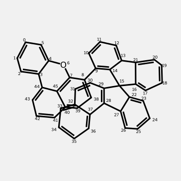 c1ccc2c(c1)Oc1c(-c3cccc4c3C3(c5ccccc5-4)c4ccccc4-c4c3ccc3ccccc43)ccc3cccc-2c13